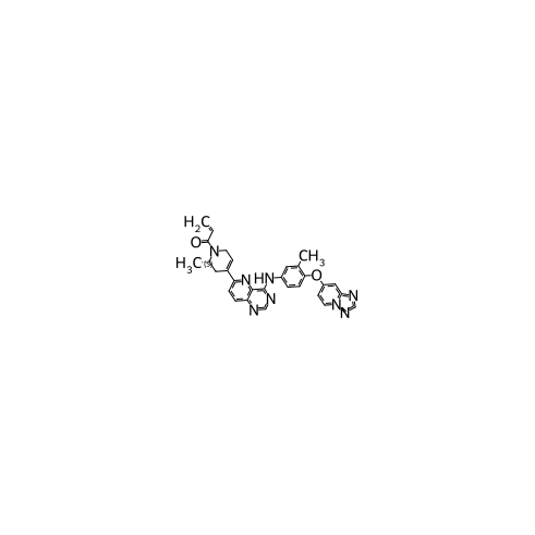 C=CC(=O)N1CC=C(c2ccc3ncnc(Nc4ccc(Oc5ccn6ncnc6c5)c(C)c4)c3n2)C[C@@H]1C